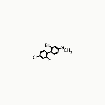 COc1ccc(-c2ccc(Cl)cc2F)c(Br)c1